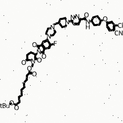 CC(C)(C)OC(=O)CCCCCCCCC(=O)OCN1C(=O)CCC(N2C(=O)c3cc(F)c(N4CCN(CC5CCN(c6ccc(C(=O)NC7CCC(Oc8ccc(C#N)c(Cl)c8)CC7)nn6)CC5)CC4)cc3C2=O)C1=O